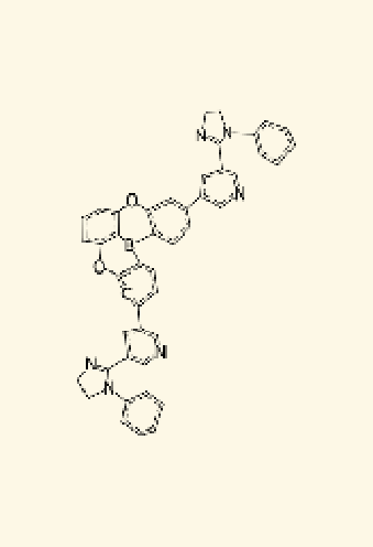 c1ccc(N2CCN=C2c2cncc(-c3ccc4c(c3)Oc3cccc5c3B4c3ccc(-c4cncc(C6=NCCN6c6ccccc6)c4)cc3O5)c2)cc1